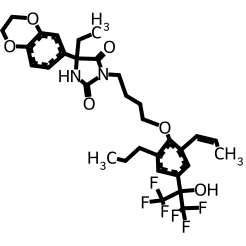 C/C=C\c1cc(C(O)(C(F)(F)F)C(F)(F)F)cc(CCC)c1OCCCCN1C(=O)NC(CC)(c2ccc3c(c2)OCCO3)C1=O